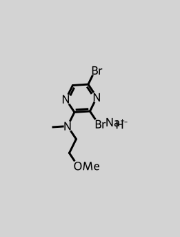 COCCN(C)c1ncc(Br)nc1Br.[H-].[Na+]